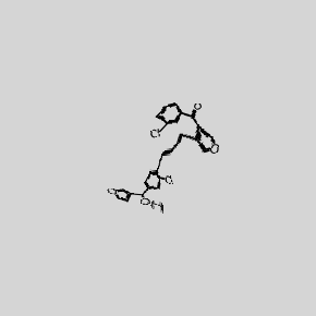 O=C(c1cccc(Cl)c1)c1cocc1CCCc1ccc(C(O)c2ccoc2)cc1Cl